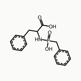 O=C(O)C(Cc1ccccc1)NP(=O)(O)Cc1ccccc1